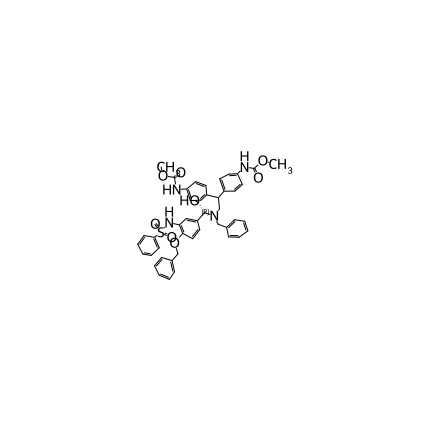 COC(=O)Nc1ccc(C(CN(Cc2ccccc2)[C@@H](CO)c2ccc(OCc3ccccc3)c(NS(=O)(=O)c3ccccc3)c2)c2ccc(NC(=O)OC)cc2)cc1